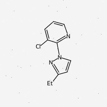 CCc1ccn(-c2ncccc2Cl)n1